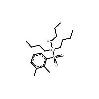 CCC[CH2][Sn]([CH2]CCC)([13CH2]CCC)[S](=O)(=O)c1cccc(C)c1C